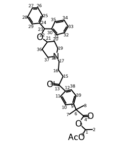 CC(=O)OC(C)OC(=O)C(C)(C)c1ccc(C(=O)CCCN2CCC(OC(c3ccccc3)c3ccccc3)CC2)cc1